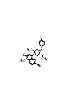 CC[C@@H]1CN(c2cc(=O)n(C)c3ccc(C#N)nc23)[C@@H](C)CN1Cc1ccc(F)cc1